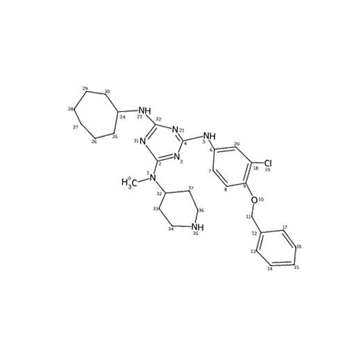 CN(c1nc(Nc2ccc(OCc3ccccc3)c(Cl)c2)nc(NC2CCCCCC2)n1)C1CCNCC1